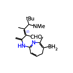 BC1=C(C)N=C(NC(=C)/C(C=O)=C(\C)C(NC)C(C)(C)C)C=CC1